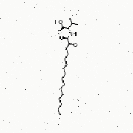 CCCCCCCCCCCCCCC(=O)C(=O)N[C@H](C(=O)O)C(C)C